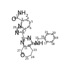 NC(=O)c1cccc2c(-c3nc4c(c(NCc5ccccc5)n3)CCCOC4)ncn12